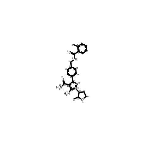 Cc1ccccc1C(=O)NCc1ccc(-c2nn(C3CCOC3C)c(N)c2C(N)=O)cc1